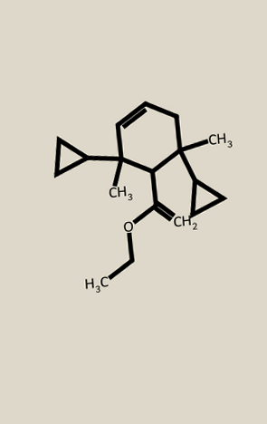 C=C(OCC)C1C(C)(C2CC2)C=CCC1(C)C1CC1